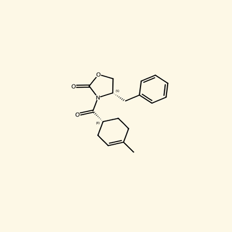 CC1=CC[C@H](C(=O)N2C(=O)OC[C@@H]2Cc2ccccc2)CC1